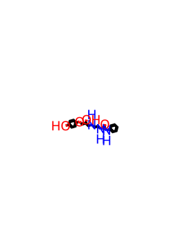 O=C(NCCNCC(O)COc1ccc(O)cc1)Nc1ccccc1